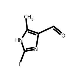 Cc1[nH]c(I)nc1C=O